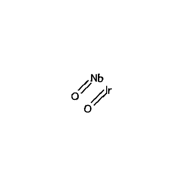 [O]=[Ir].[O]=[Nb]